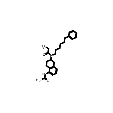 CCC(=O)N(CCCCCCc1ccccc1)C1CCc2c(cccc2NC(C)=O)C1